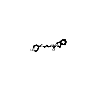 O=C(NCCCOC1CCNCC1)N1Cc2ccccc2C1